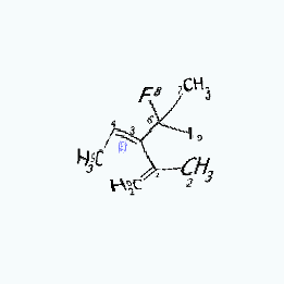 C=C(C)/C(=C\C)C(C)(F)I